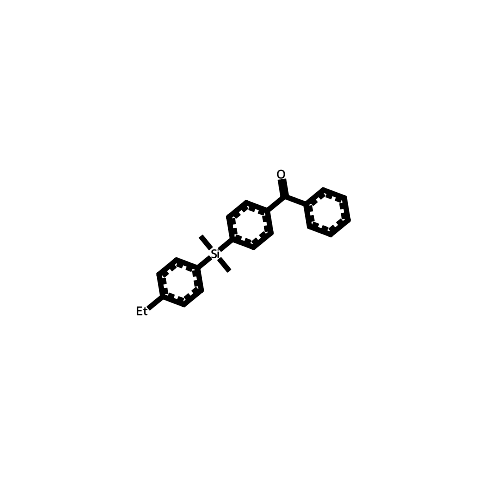 CCc1ccc([Si](C)(C)c2ccc(C(=O)c3ccccc3)cc2)cc1